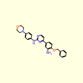 Nc1cc(-c2ccnc(Nc3ccc(N4CCOCC4)cc3)n2)ccc1OCc1ccccc1